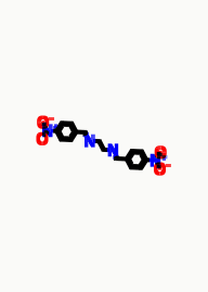 O=[N+]([O-])c1ccc(C=NCCN=Cc2ccc([N+](=O)[O-])cc2)cc1